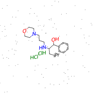 CC(C)CC(NCCCN1CCOCC1)C(O)c1ccccc1.Cl.Cl